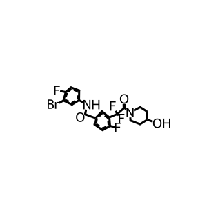 O=C(Nc1ccc(F)c(Br)c1)c1ccc(F)c(C(F)(F)C(=O)N2CCC(O)CC2)c1